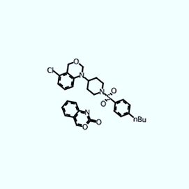 CCCCc1ccc(S(=O)(=O)N2CCC(N3COCc4c(Cl)cccc43)CC2)cc1.O=c1nc2ccccc2co1